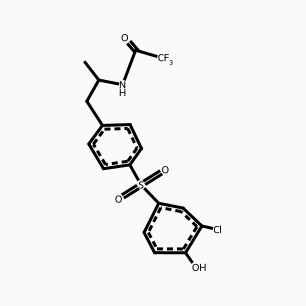 CC(Cc1ccc(S(=O)(=O)c2ccc(O)c(Cl)c2)cc1)NC(=O)C(F)(F)F